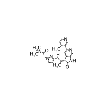 CC(Nc1ccn(CC(=O)N(C)C)n1)=C1C(=O)Nc2cnc(-c3cnccc3C)cc21